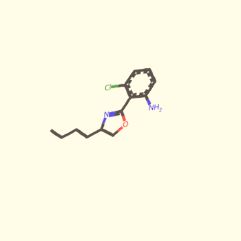 CCCCC1COC(c2c(N)cccc2Cl)=N1